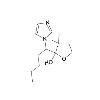 CCCCC(n1ccnc1)C1(O)OCCC1(C)C